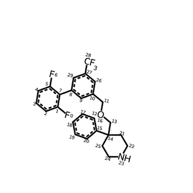 Fc1cccc(F)c1-c1cc(COCC2(c3ccccc3)CCNCC2)cc(C(F)(F)F)c1